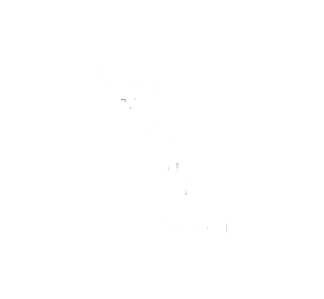 CC(C)(O)CCCC(CC(O)(C(F)(F)F)C(F)(F)F)[C@H]1CCC2/C(=C/C=C3C[C@@H](O)C[C@H](O)C3)CCC[C@@]21C